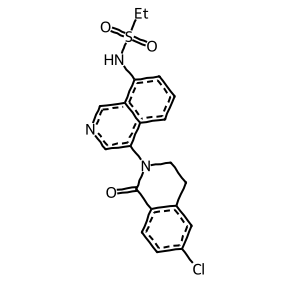 CCS(=O)(=O)Nc1cccc2c(N3CCc4cc(Cl)ccc4C3=O)cncc12